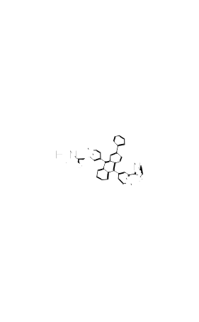 NC1S[C@H]1c1cc(-c2c3ccccc3c(-c3ccnc(-c4nccs4)c3)c3ccc(-c4ccccc4)cc23)ccn1